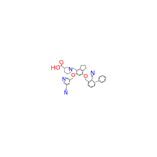 N#Cc1cncc(COc2cc(OCc3cccc(-c4ccccc4)c3C#N)c3c(c2CN2CCCC(C(=O)O)C2)CCC3)c1